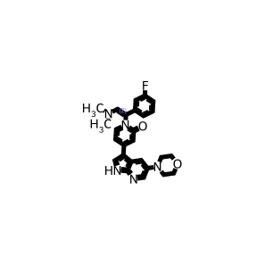 CN(C)/C=C(/c1cccc(F)c1)n1ccc(-c2c[nH]c3ncc(N4CCOCC4)cc23)cc1=O